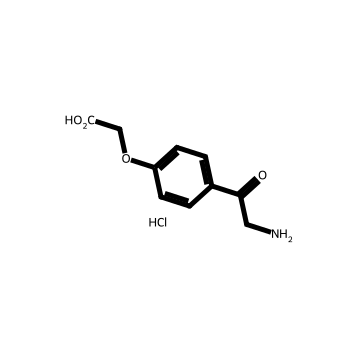 Cl.NCC(=O)c1ccc(OCC(=O)O)cc1